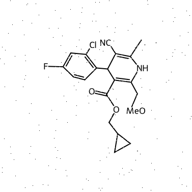 COCC1=C(C(=O)OCC2CC2)C(c2ccc(F)cc2Cl)C(C#N)=C(C)N1